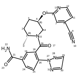 C[C@@H]1CC[C@@H](Oc2cc(C#N)ccn2)CN1C(=O)c1cc(C(N)=O)ccc1-n1nccn1